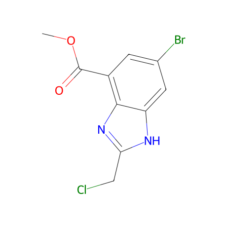 COC(=O)c1cc(Br)cc2[nH]c(CCl)nc12